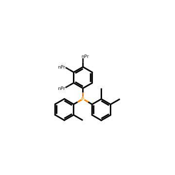 CCCc1ccc(P(c2ccccc2C)c2cccc(C)c2C)c(CCC)c1CCC